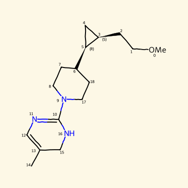 COCC[C@@H]1C[C@@H]1C1CCN(C2=NC=C(C)CN2)CC1